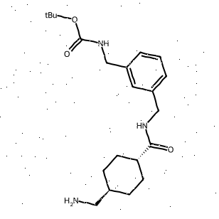 CC(C)(C)OC(=O)NCc1cccc(CNC(=O)[C@H]2CC[C@H](CN)CC2)c1